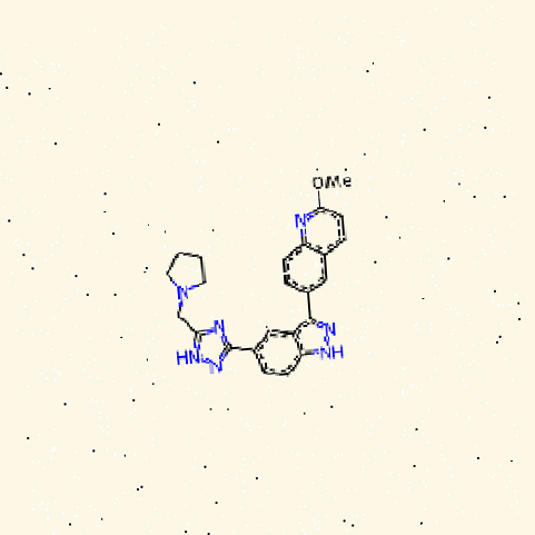 COc1ccc2cc(-c3n[nH]c4ccc(-c5n[nH]c(CN6CCCC6)n5)cc34)ccc2n1